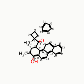 CC1CC(C(=O)C2(C)CCC2)c2c3c(ccc2=C1O)=c1ccccc1=CC3.c1ccccc1